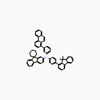 CC1(C)c2ccccc2-c2cccc(-c3ccc(N(c4cccc(-c5cccc6c5ccc5ccccc56)c4)c4ccc5c(c4)C4(CCCCC4)c4ccccc4-5)cc3)c21